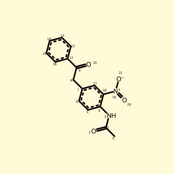 CC(=O)Nc1ccc(CC(=O)c2ccccc2)cc1[N+](=O)[O-]